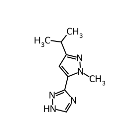 CC(C)c1cc(-c2nc[nH]n2)n(C)n1